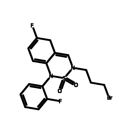 O=S1(=O)N(CCCBr)C=C2CC(F)=CC=C2N1c1ccccc1F